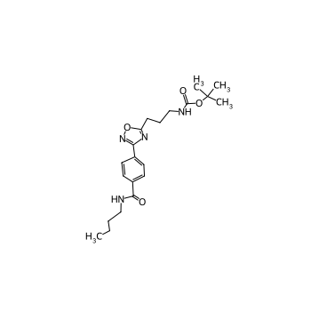 CCCCNC(=O)c1ccc(-c2noc(CCCNC(=O)OC(C)(C)C)n2)cc1